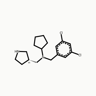 Clc1cc(Cl)cc(CN(C[C@@H]2CCNC2)C2CCCC2)c1